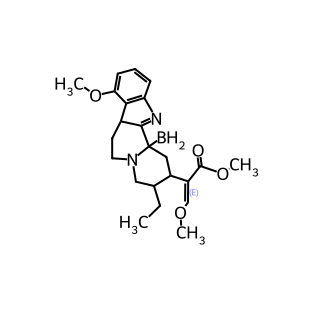 BC12CC(/C(=C\OC)C(=O)OC)C(CC)CN1CCC1C2=Nc2cccc(OC)c21